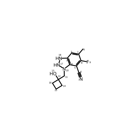 Cc1cc2c(c(C#N)c1F)N(CC1(O)CCC1)NN2